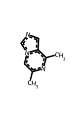 Cc1cn2cncc2c(C)n1